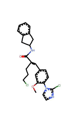 COc1cc(C=C(CCCCl)C(=O)NC2Cc3ccccc3C2)ccc1-n1ccnc1Cl